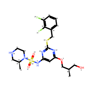 C[C@H](CO)COc1cc(NS(=O)(=O)N2CCNC[C@@H]2C)nc(SCc2cccc(F)c2F)n1